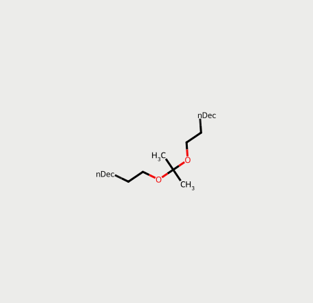 CCCCCCCCCCCCOC(C)(C)OCCCCCCCCCCCC